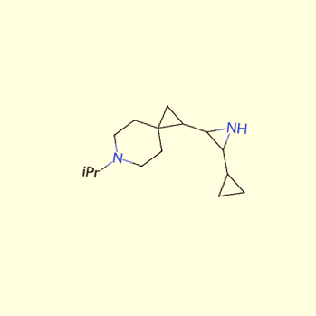 CC(C)N1CCC2(CC1)CC2C1NC1C1CC1